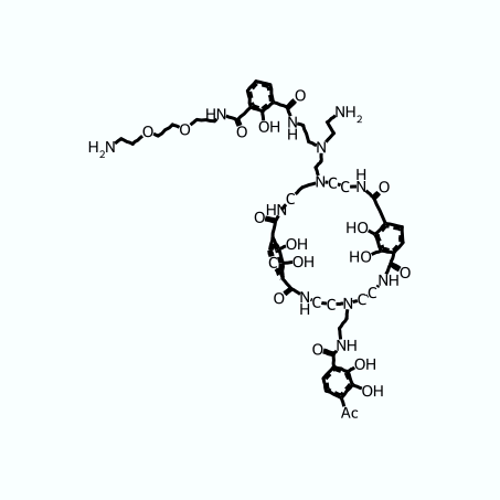 CC(=O)c1ccc(C(=O)NCCN2CCNC(=O)c3ccc(c(O)c3O)C(=O)NCCN(CCN(CCN)CCNC(=O)c3cccc(C(=O)NCCOCCOCCN)c3O)CCNC(=O)c3ccc(c(O)c3O)C(=O)NCC2)c(O)c1O